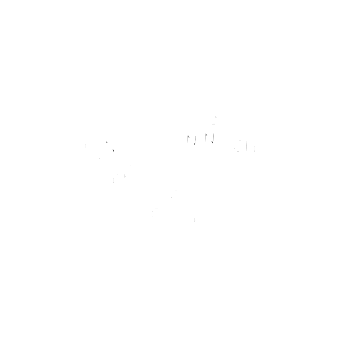 CC(=O)N1N=C(c2ccc([N+](=O)[O-])c(Cl)c2)c2cc(Cl)c(Cl)cc2CC1C